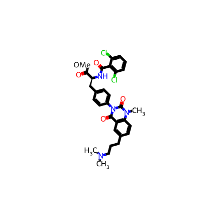 COC(=O)[C@H](Cc1ccc(-n2c(=O)c3cc(CCCN(C)C)ccc3n(C)c2=O)cc1)NC(=O)c1c(Cl)cccc1Cl